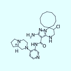 Nc1nn2c(c1C(=O)Nc1cnccc1N1CCN3CCC[C@@H]3C1)NCC(Cl)C21CCCCCCCCC1